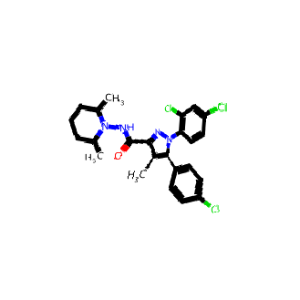 CC1CCCC(C)N1NC(=O)C1=NN(c2ccc(Cl)cc2Cl)[C@@H](c2ccc(Cl)cc2)[C@H]1C